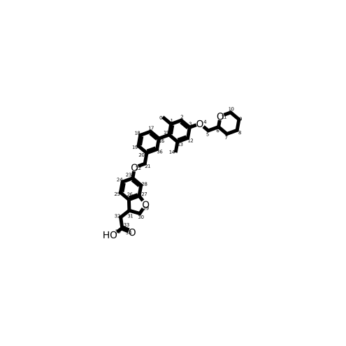 Cc1cc(OCC2CCCCO2)cc(C)c1-c1cccc(COc2ccc3c(c2)OCC3CC(=O)O)c1